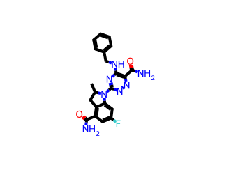 CC1Cc2c(C(N)=O)cc(F)cc2N1c1nnc(C(N)=O)c(NCc2ccccc2)n1